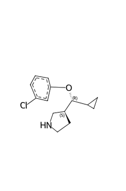 Clc1cccc(O[C@H](C2CC2)[C@H]2CCNC2)c1